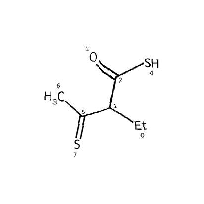 CCC(C(=O)S)C(C)=S